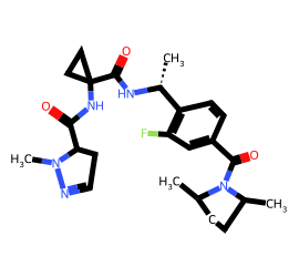 CC1CCC(C)N1C(=O)c1ccc([C@@H](C)NC(=O)C2(NC(=O)C3CC=NN3C)CC2)c(F)c1